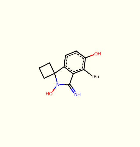 CC(C)(C)c1c(O)ccc2c1C(=N)N(O)C21CCC1